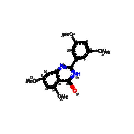 COc1cc(OC)cc(-c2nc3cc(OC)cc(OC)c3c(=O)[nH]2)c1